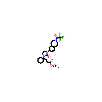 COC(=O)CCC1(N2CCN(c3ccc4c(c3)CCN(C(=O)C(F)(F)F)CC4)C2=O)CCCCC1